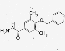 Cc1cc(C(=O)NN)cc(C)c1OCc1ccccc1